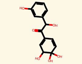 O=C(C1=CC(O)C(O)(O)C=C1)C(O)c1cccc(O)c1